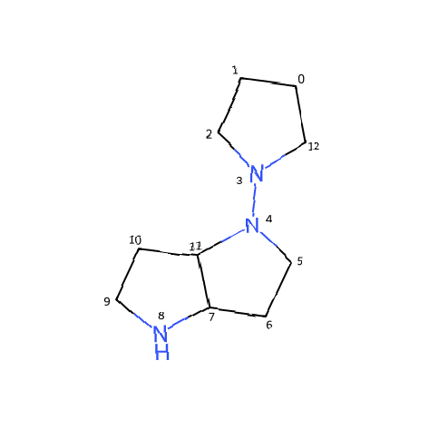 C1CCN(N2CCC3NCCC32)C1